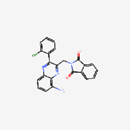 Nc1cccc2nc(-c3ccccc3Cl)c(CN3C(=O)c4ccccc4C3=O)nc12